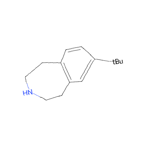 CC(C)(C)c1ccc2c(c1)CCNCC2